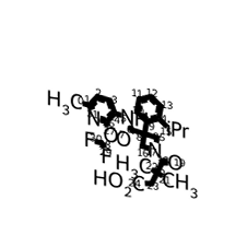 Cc1ccc(NC(=O)C2(c3ccccc3C(C)C)CN(C(=O)C(C)(C)CC(=O)O)C2)c(OC(F)F)n1